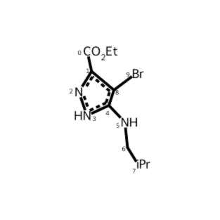 CCOC(=O)c1n[nH]c(NCC(C)C)c1Br